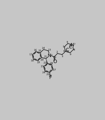 O=C(CCC12CCN(CC1)CC2)N1CCc2ccccc2[C@@H]1c1ccc(F)cc1